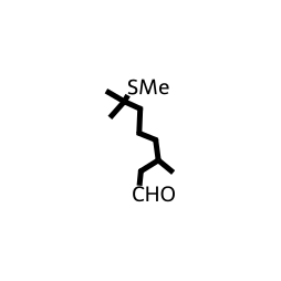 CSC(C)(C)CCCC(C)CC=O